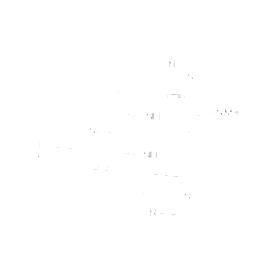 CNC(=O)c1c(NC(=O)c2nc(C3CC3)ccc2Nc2cncnc2)cnn1C